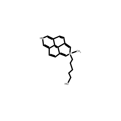 C[N+]1(CCCCCO)C=c2ccc3c4c(ccc(c24)=C1)=CNC=3